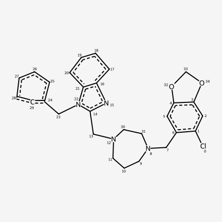 Clc1cc2c(cc1CN1CCCN(Cc3nc4ccccc4n3Cc3ccccc3)CC1)OCO2